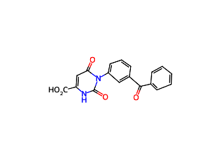 O=C(c1ccccc1)c1cccc(-n2c(=O)cc(C(=O)O)[nH]c2=O)c1